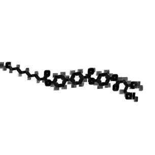 CCCCCCCCC(=O)Oc1ccc(-c2ccc(C(=O)Oc3ccc(OC(=O)C[C@@H](C)CC)cc3)cc2)cc1